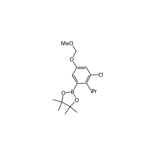 COCOc1cc(Cl)c(C(C)C)c(B2OC(C)(C)C(C)(C)O2)c1